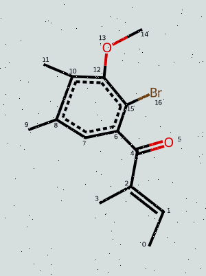 C/C=C(\C)C(=O)c1cc(C)c(C)c(OC)c1Br